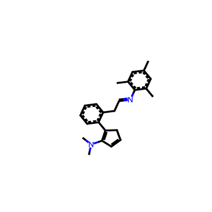 Cc1cc(C)c(N=CCc2ccccc2C2=C(N(C)C)C=CC2)c(C)c1